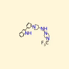 FC(F)(F)CN1CCN(CCNC2CCN(c3cccc(-c4cc5ccccc5[nH]4)c3)CC2)CC1